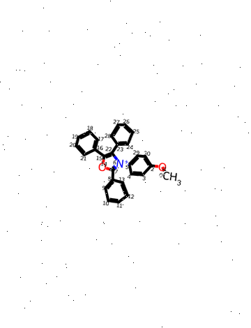 COc1ccc(-[n+]2c(-c3ccccc3)oc(-c3ccccc3)c2-c2ccccc2)cc1